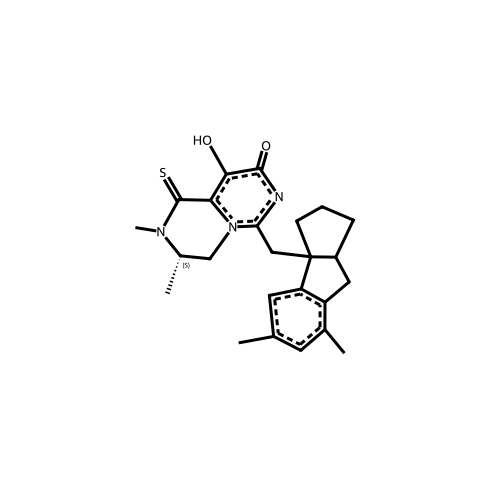 Cc1cc(C)c2c(c1)C1(Cc3nc(=O)c(O)c4n3C[C@H](C)N(C)C4=S)CCCC1C2